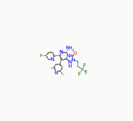 Cc1cc(-c2c(-c3ccc(F)cn3)nc(N)[n+]3c(=O)n(CCC(F)(F)F)[nH]c23)cc(C)n1